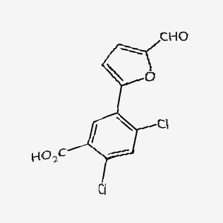 O=Cc1ccc(-c2cc(C(=O)O)c(Cl)cc2Cl)o1